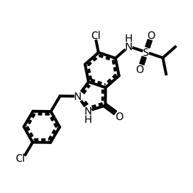 CC(C)S(=O)(=O)Nc1cc2c(=O)[nH]n(Cc3ccc(Cl)cc3)c2cc1Cl